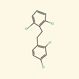 Clc1ccc(CCc2c(Cl)cccc2Cl)c(Cl)c1